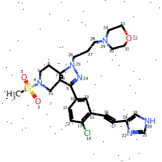 CS(=O)(=O)N1CCc2c(c(-c3ccc(Cl)c(C#Cc4c[nH]cn4)c3)nn2CCCN2CCOCC2)C1